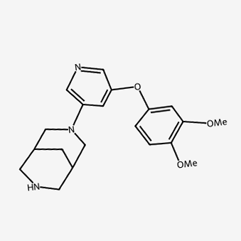 COc1ccc(Oc2cncc(N3CC4CNCC(C4)C3)c2)cc1OC